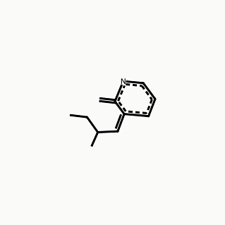 C=c1nccc/c1=C/C(C)CC